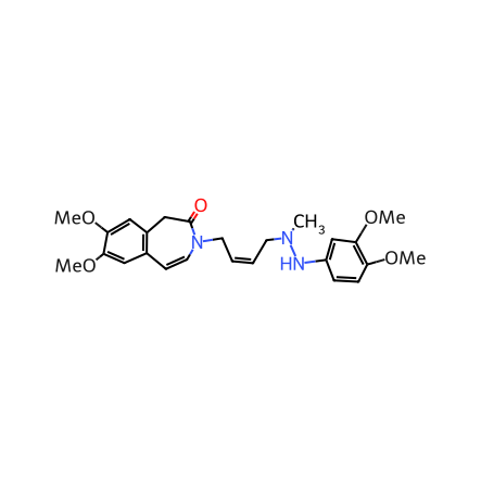 COc1ccc(NN(C)C/C=C\CN2C=Cc3cc(OC)c(OC)cc3CC2=O)cc1OC